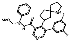 COC[C@@H](NC(=O)c1cncc(-c2cc(F)cc(F)c2)c1N1CCC2(CCCN2)C1)c1ccccc1